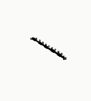 C#CC#CC#CC#CC#CI